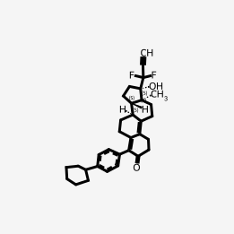 C#CC(F)(F)[C@]1(O)CC[C@H]2[C@@H]3CCC4=C(c5ccc(C6CCCCC6)cc5)C(=O)CCC4=C3CC[C@@]21C